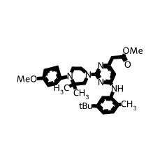 COC(=O)Cc1cc(Nc2cc(C(C)(C)C)ccc2C)nc(N2CCN(c3ccc(OC)cc3)C(C)(C)C2)n1